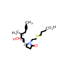 CC#CC[C@H](C)[C@H](O)/C=C/[C@H]1CCC(=O)N1CCSCCCC(=O)O